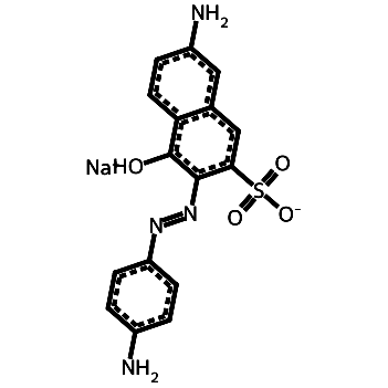 Nc1ccc(N=Nc2c(S(=O)(=O)[O-])cc3cc(N)ccc3c2O)cc1.[Na+]